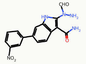 NC(=O)c1c(N(N)C=O)[nH]c2cc(-c3cccc([N+](=O)[O-])c3)ccc12